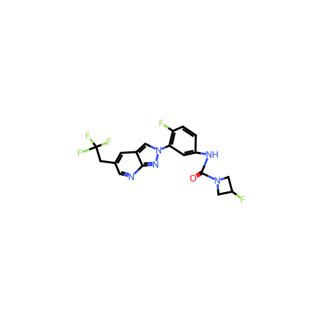 O=C(Nc1ccc(F)c(-n2cc3cc(CC(F)(F)F)cnc3n2)c1)N1CC(F)C1